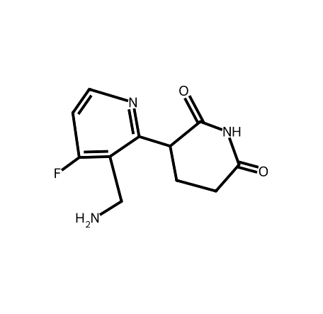 NCc1c(F)ccnc1C1CCC(=O)NC1=O